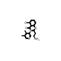 Cc1cncc(-n2c(CCN)nc3cccc(Cl)c3c2=O)c1C